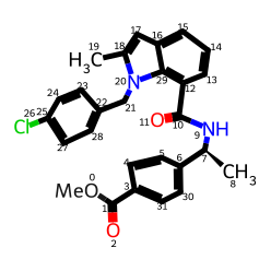 COC(=O)c1ccc([C@H](C)NC(=O)c2cccc3cc(C)n(Cc4ccc(Cl)cc4)c23)cc1